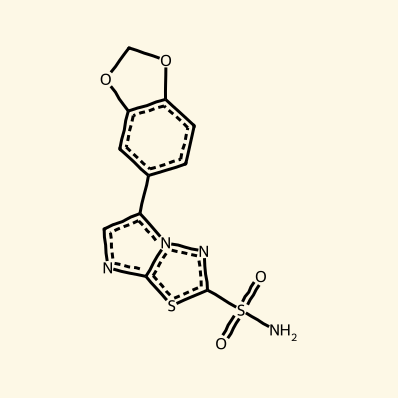 NS(=O)(=O)c1nn2c(-c3ccc4c(c3)OCO4)cnc2s1